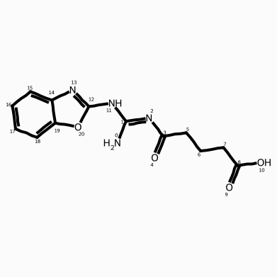 N/C(=N\C(=O)CCCC(=O)O)Nc1nc2ccccc2o1